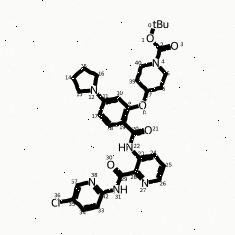 CC(C)(C)OC(=O)N1CCC(Oc2cc(N3CCCC3)ccc2C(=O)Nc2cccnc2C(=O)Nc2ccc(Cl)cn2)CC1